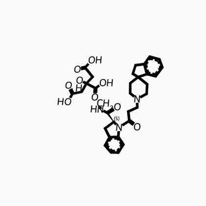 CNC(=O)[C@@H]1Cc2ccccc2N1C(=O)CCN1CCC2(CCc3ccccc32)CC1.O=C(O)CC(O)(CC(=O)O)C(=O)O